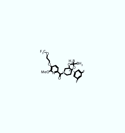 BC1(B)OC2CN(C(=O)c3ccc(OCCOC(F)(F)F)c(OC)n3)CC[C@]2(c2cc(F)cc(F)c2)O1